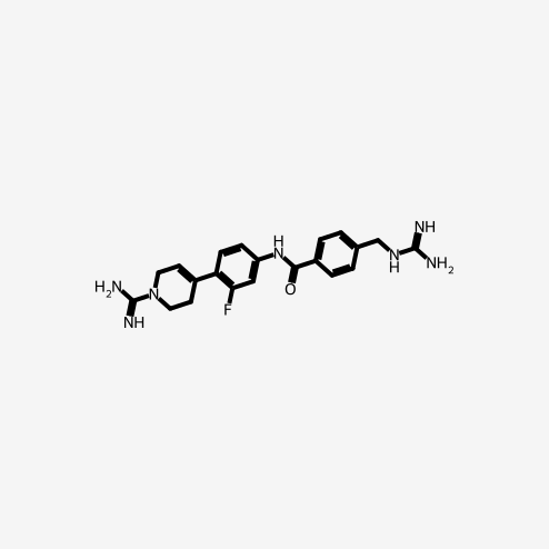 N=C(N)NCc1ccc(C(=O)Nc2ccc(C3=CCN(C(=N)N)CC3)c(F)c2)cc1